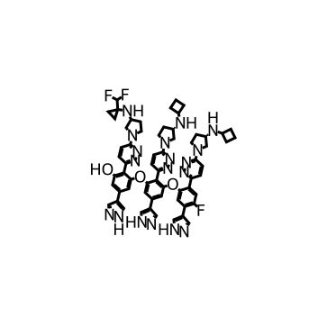 Oc1cc(-c2cn[nH]c2)cc(Oc2cc(-c3cn[nH]c3)cc(Oc3cc(-c4cn[nH]c4)c(F)cc3-c3ccc(N4CC[C@@H](NC5CCC5)C4)nn3)c2-c2ccc(N3CC[C@H](NC4CCC4)C3)nn2)c1-c1ccc(N2CCC(NC3(C(F)F)CC3)C2)nn1